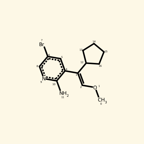 CO/C=C(/c1cc(Br)cnc1N)C1CCCC1